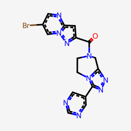 O=C(c1cc2ncc(Br)cn2n1)N1CCn2c(nnc2-c2cncnc2)C1